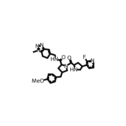 COc1ccc(CC2CC(C(=O)NCC3=Cc4nnn(C)c4CC3)N(C(=O)C3CC(c4cccnc4F)CN3)C2)cc1